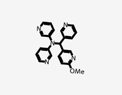 COc1ccc(C(c2cccnc2)N(c2cccnc2)c2cccnc2)cn1